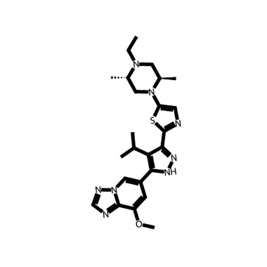 CCN1C[C@@H](C)N(c2cnc(-c3n[nH]c(-c4cc(OC)c5ncnn5c4)c3C(C)C)s2)C[C@@H]1C